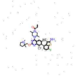 C=CC(=O)N1CC(C)N(c2nc(OCC3(C)CCCN3C)nc3c(C(F)(F)F)c(-c4ccc(F)c5sc(N)c(C#N)c45)c(C(F)(F)F)cc23)CC1C